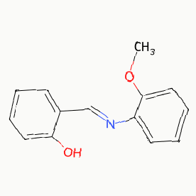 COc1ccccc1N=Cc1ccccc1O